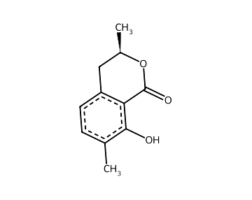 Cc1ccc2c(c1O)C(=O)O[C@H](C)C2